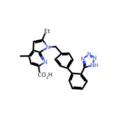 CCc1cc2c(C)cc(C(=O)O)nc2n1Cc1ccc(-c2ccccc2-c2nnn[nH]2)cc1